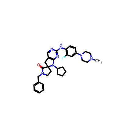 CN1CCN(c2ccc(Nc3ncc4c(n3)N(C3CCCC3)C3(CCN(Cc5ccccc5)C3=O)C4)c(F)c2)CC1